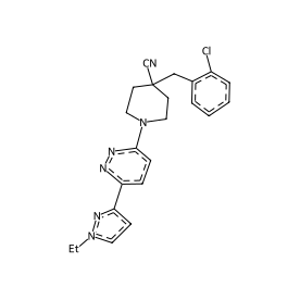 CCn1ccc(-c2ccc(N3CCC(C#N)(Cc4ccccc4Cl)CC3)nn2)n1